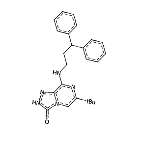 CC(C)(C)c1cn2c(=O)[nH]nc2c(NCCC(c2ccccc2)c2ccccc2)n1